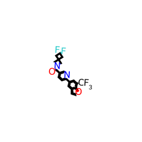 O=C(c1ccc(-c2cc(C(F)(F)F)c3occc3c2)nc1)N1CC2(C1)CC(F)(F)C2